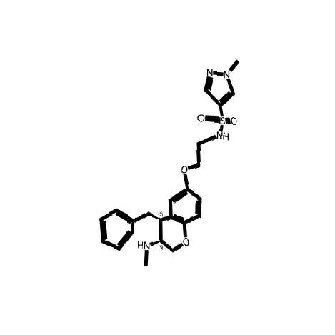 CN[C@@H]1COc2ccc(OCCNS(=O)(=O)c3cnn(C)c3)cc2[C@@H]1Cc1ccccc1